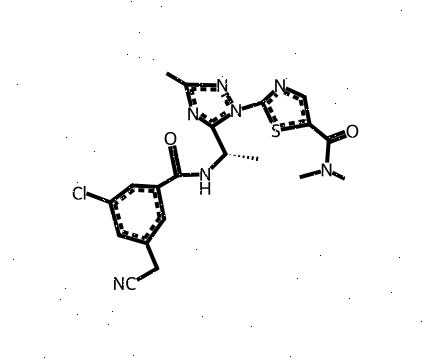 Cc1nc([C@H](C)NC(=O)c2cc(Cl)cc(CC#N)c2)n(-c2ncc(C(=O)N(C)C)s2)n1